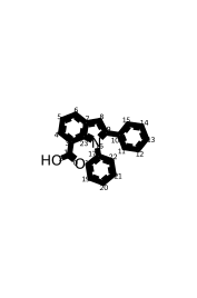 O=C(O)c1cccc2cc(-c3ccccc3)n(-c3ccccc3)c12